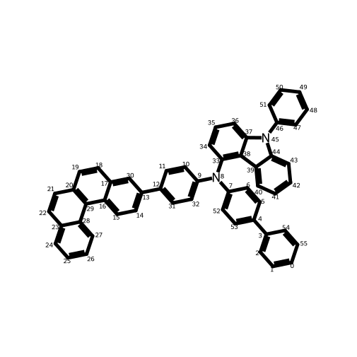 c1ccc(-c2ccc(N(c3ccc(-c4ccc5c(ccc6ccc7ccccc7c65)c4)cc3)c3cccc4c3c3ccccc3n4-c3ccccc3)cc2)cc1